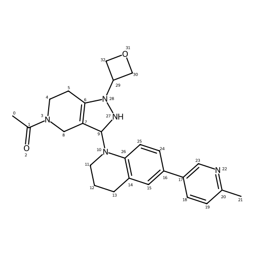 CC(=O)N1CCC2=C(C1)C(N1CCCc3cc(-c4ccc(C)nc4)ccc31)NN2C1COC1